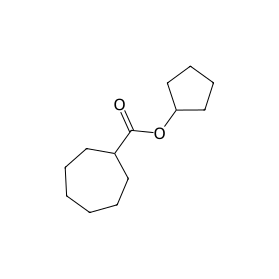 O=C(OC1CCCC1)C1CCCCCC1